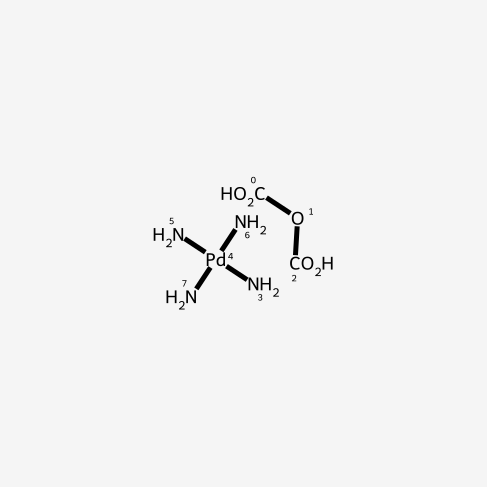 O=C(O)OC(=O)O.[NH2][Pd]([NH2])([NH2])[NH2]